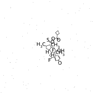 C[C@@H]1C[C@H]2[C@@H]3C[C@H](F)C4=CC(=O)C=C[C@]4(C)[C@@]3(F)[C@@H](O)C[C@]2(C)[C@H]1C(=S)OOC(=O)C1CCC1